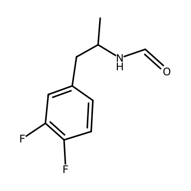 CC(Cc1ccc(F)c(F)c1)NC=O